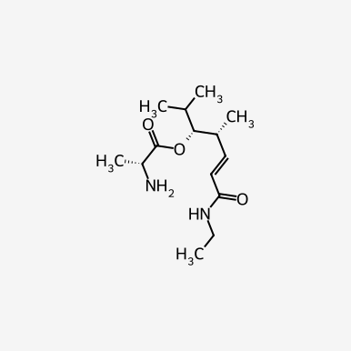 CCNC(=O)/C=C/[C@@H](C)[C@H](OC(=O)[C@@H](C)N)C(C)C